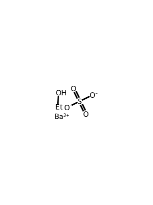 CCO.O=S(=O)([O-])[O-].[Ba+2]